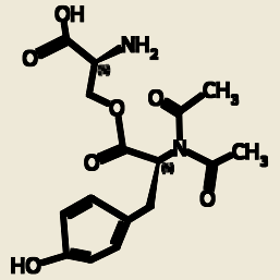 CC(=O)N(C(C)=O)[C@@H](Cc1ccc(O)cc1)C(=O)OC[C@H](N)C(=O)O